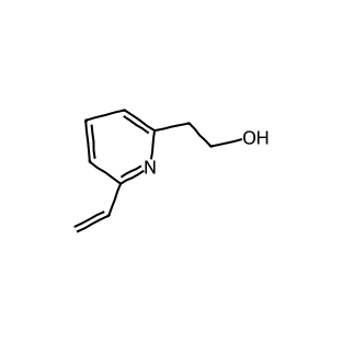 C=Cc1cccc(CCO)n1